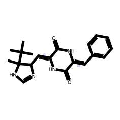 CC(C)(C)C1(C)NC=NC1/C=c1\[nH]c(=O)/c(=C/c2ccccc2)[nH]c1=O